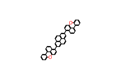 c1ccc2c(c1)Oc1ccc(-c3cc4ccc5cc(-c6ccc7c8c(cccc68)-c6ccccc6O7)cc6ccc(c3)c4c56)c3cccc-2c13